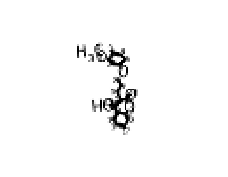 COc1cccc(OCCCc2c(O)c3ccccc3oc2=O)c1